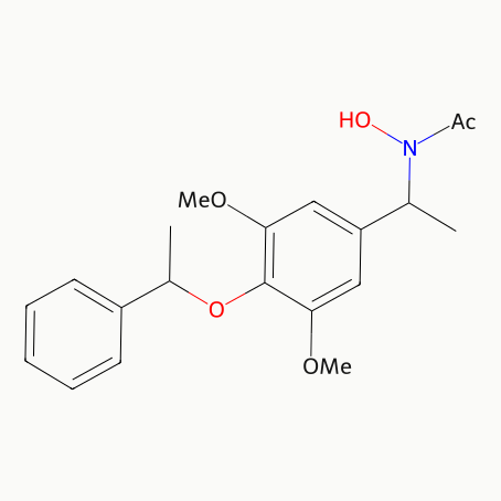 COc1cc(C(C)N(O)C(C)=O)cc(OC)c1OC(C)c1ccccc1